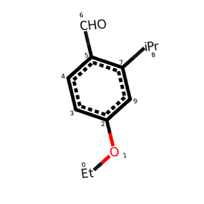 CCOc1ccc(C=O)c(C(C)C)c1